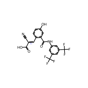 N#C/C(=C\c1ccc(O)cc1C(=O)Nc1cc(C(F)(F)F)cc(C(F)(F)F)c1)C(=O)O